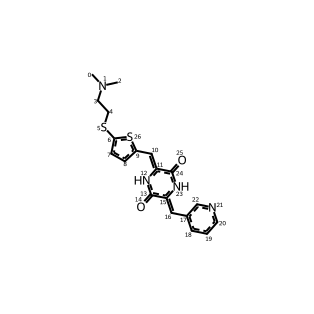 CN(C)CCSc1ccc(/C=c2\[nH]c(=O)/c(=C/c3cccnc3)[nH]c2=O)s1